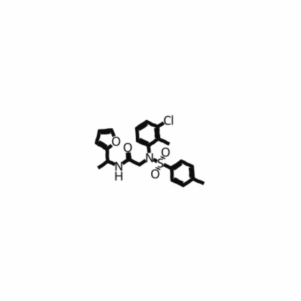 Cc1ccc(S(=O)(=O)N(CC(=O)NC(C)c2ccco2)c2cccc(Cl)c2C)cc1